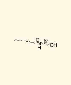 CCCCCCCCCCCC(=O)NCCC(CCO)N(C)C